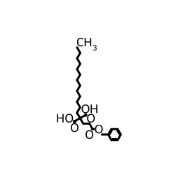 CCCCCCCCCCCCCCC(CCC(=O)OCc1ccccc1)(C(=O)O)C(=O)O